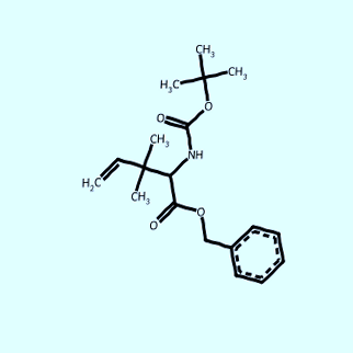 C=CC(C)(C)C(NC(=O)OC(C)(C)C)C(=O)OCc1ccccc1